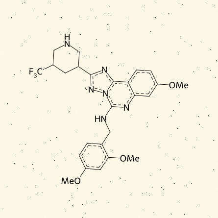 COc1ccc(CNc2nc3cc(OC)ccc3c3nc(C4CNCC(C(F)(F)F)C4)nn23)c(OC)c1